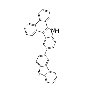 c1ccc2c(c1)sc1ccc(-c3ccc4[nH]c5c6ccccc6c6ccccc6c5c4c3)cc12